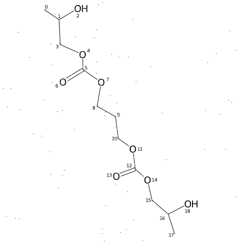 CC(O)COC(=O)OCCCOC(=O)OCC(C)O